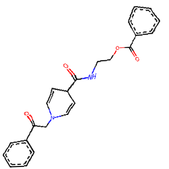 O=C(CN1C=CC(C(=O)NCCOC(=O)c2ccccc2)C=C1)c1ccccc1